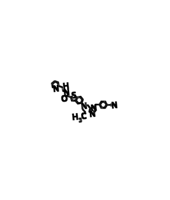 CCCN(Cc1cncn1Cc1ccc(C#N)cc1)c1ccc2sc(C(=O)NCCc3ccccn3)cc2c1